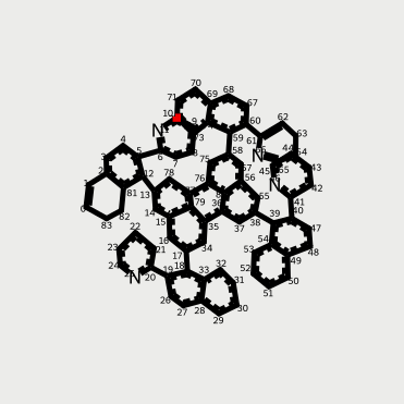 C1=Cc2ccc(-c3ccccn3)c(-c3cc4cc(-c5c(-c6ccccn6)ccc6ccccc56)cc5c6cc(-c7c(-c8ccccn8)ccc8ccccc78)cc7cc(-c8c(C9=CCCC=N9)ccc9ccccc89)cc(c(c3)c45)c76)c2CC1